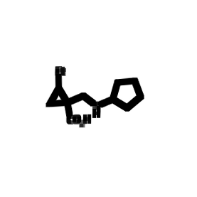 CCC1CC1(CNC1CCCC1)C(=O)O